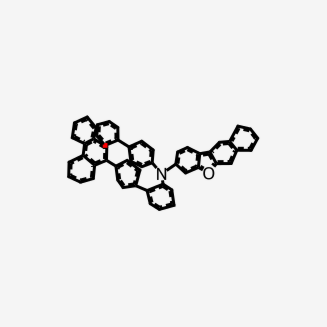 c1ccc(-c2ccc(N(c3ccc4c(c3)oc3cc5ccccc5cc34)c3ccccc3-c3ccc(-c4cc5ccccc5c5ccccc45)cc3)cc2)cc1